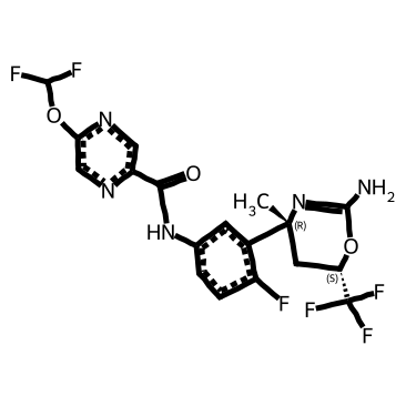 C[C@]1(c2cc(NC(=O)c3cnc(OC(F)F)cn3)ccc2F)C[C@@H](C(F)(F)F)OC(N)=N1